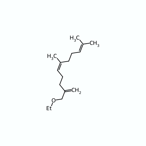 C=C(CCC=C(C)CCC=C(C)C)COCC